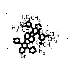 CC(C)c1cc(-c2c3c(c(-c4cc(C(C)(C)C)cc(C(C)(C)C)c4)c4ccccc24)-c2ccc4c5c(ccc-3c25)-c2c-4c(-c3ccccc3)c3cc(Br)ccc3c2-c2ccccc2)cc(C(C)(C)C)c1